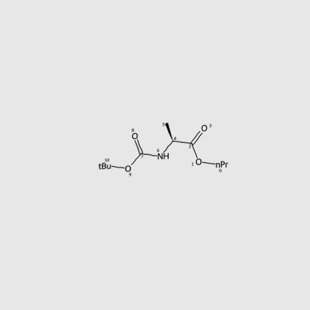 CCCOC(=O)[C@H](C)NC(=O)OC(C)(C)C